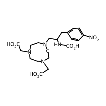 O=C(O)CN1CCN(CC(=O)O)CCN(CC(Cc2ccc([N+](=O)[O-])cc2)NC(=O)O)CC1